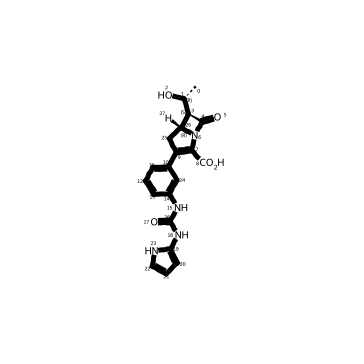 C[C@@H](O)[C@H]1C(=O)N2C(C(=O)O)=C(c3cccc(NC(=O)Nc4ccc[nH]4)c3)C[C@H]12